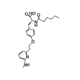 CCCCCC(=O)N[C@@H](Cc1ccc(OCCc2cccc(NC)n2)cc1)C(=O)O